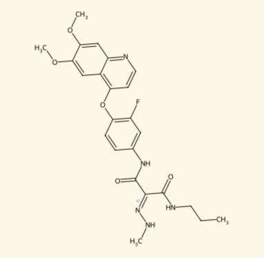 CCCNC(=O)/C(=N\NC)C(=O)Nc1ccc(Oc2ccnc3cc(OC)c(OC)cc23)c(F)c1